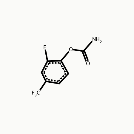 NC(=O)Oc1ccc(C(F)(F)F)cc1F